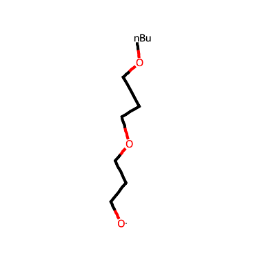 CCCCOCCCOCCC[O]